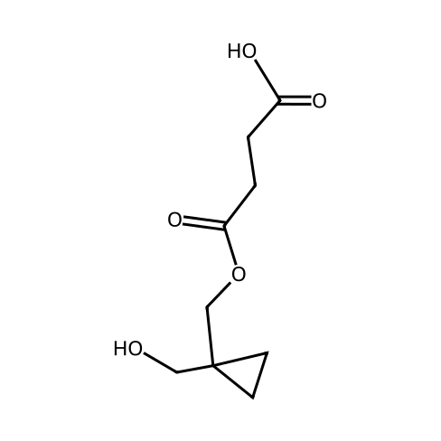 O=C(O)CCC(=O)OCC1(CO)CC1